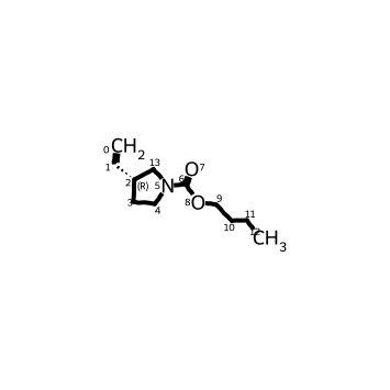 C=C[C@H]1CCN(C(=O)OCCCC)C1